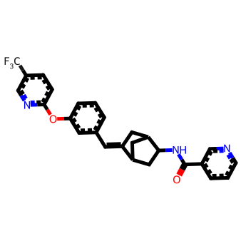 O=C(NC1CC2CC1C/C2=C\c1cccc(Oc2ccc(C(F)(F)F)cn2)c1)c1cccnc1